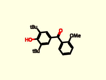 COc1ccccc1C(=O)c1cc(C(C)(C)C)c(O)c(C(C)(C)C)c1